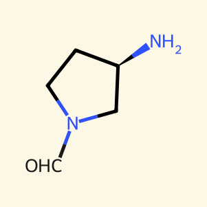 N[C@@H]1CCN(C=O)C1